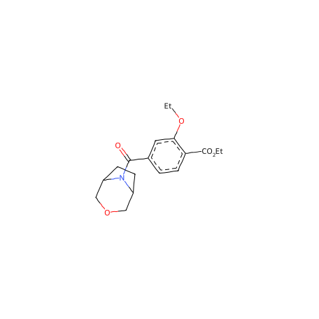 CCOC(=O)c1ccc(C(=O)N2C3CCC2COC3)cc1OCC